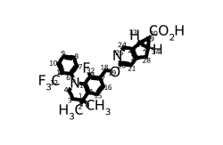 CC1(C)CCN(c2ccccc2C(F)(F)F)c2c1ccc(COc1cc3c(cn1)[C@H]1[C@@H](C3)[C@@H]1C(=O)O)c2F